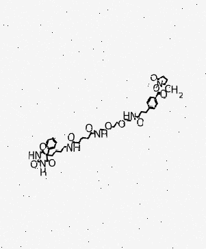 C=C1CCC(=O)N1OC(=O)c1ccc(CCC(=O)NCCOCCOCCNC(=O)CCCC(=O)NCCCCC2(c3ccccc3)C(=O)NC(=O)NC2=O)cc1